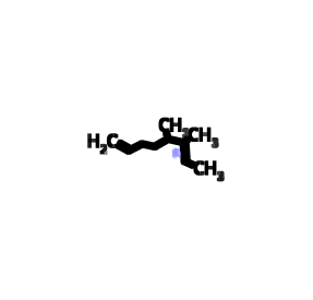 C=CCCC(C)/C(C)=C/C